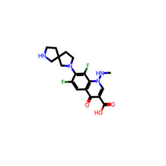 CNn1cc(C(=O)O)c(=O)c2cc(F)c(N3CCC4(CCNC4)C3)c(F)c21